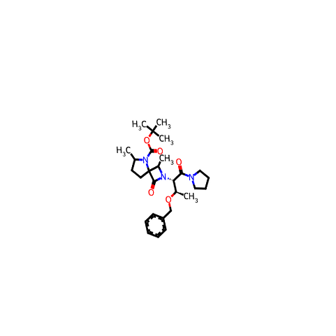 CC1CCC2(C(=O)N([C@H](C(=O)N3CCCC3)[C@@H](C)OCc3ccccc3)C2C)N1C(=O)OC(C)(C)C